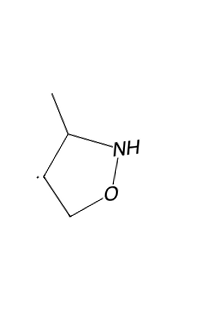 CC1[CH]CON1